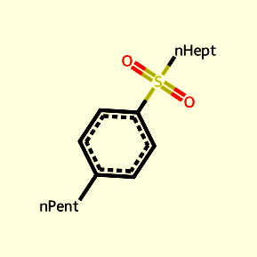 [CH2]CCCCCCS(=O)(=O)c1ccc(CCCCC)cc1